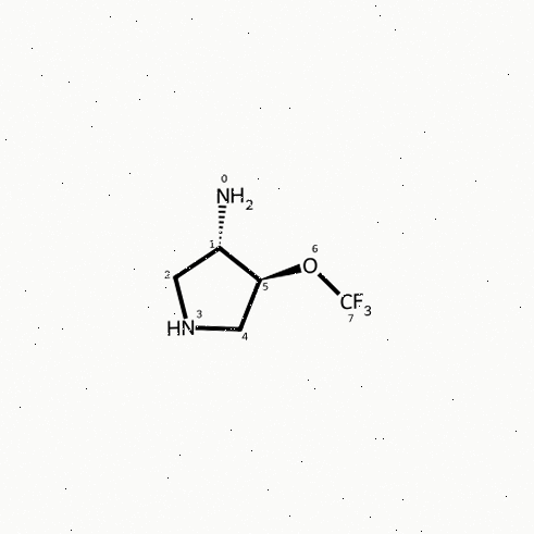 N[C@H]1CNC[C@@H]1OC(F)(F)F